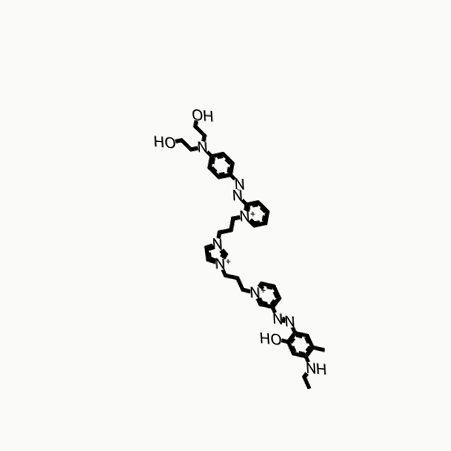 CCNc1cc(O)c(/N=N/c2ccc[n+](CCC[n+]3ccn(CCC[n+]4ccccc4/N=N/c4ccc(N(CCO)CCO)cc4)c3)c2)cc1C